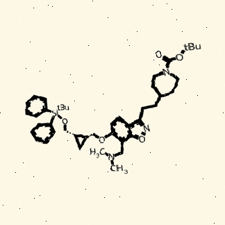 CN(C)Cc1c(OC[C@@H]2C[C@@H]2CO[Si](c2ccccc2)(c2ccccc2)C(C)(C)C)ccc2c(CCC3CCN(C(=O)OC(C)(C)C)CC3)noc12